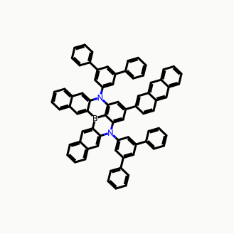 c1ccc(-c2cc(-c3ccccc3)cc(N3c4cc5ccccc5cc4B4c5cc6ccccc6cc5N(c5cc(-c6ccccc6)cc(-c6ccccc6)c5)c5cc(-c6ccc7cc8ccccc8cc7c6)cc3c54)c2)cc1